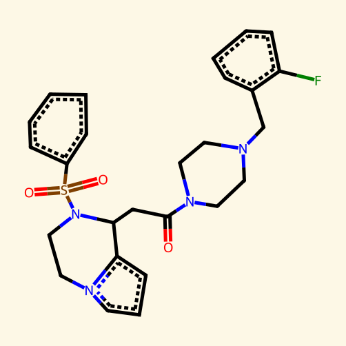 O=C(CC1c2cccn2CCN1S(=O)(=O)c1ccccc1)N1CCN(Cc2ccccc2F)CC1